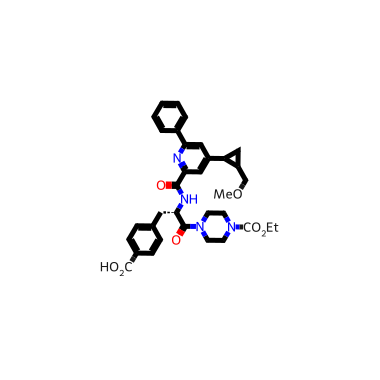 CCOC(=O)N1CCN(C(=O)[C@H](Cc2ccc(C(=O)O)cc2)NC(=O)c2cc(C3CC3COC)cc(-c3ccccc3)n2)CC1